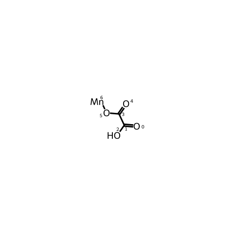 O=C(O)C(=O)[O][Mn]